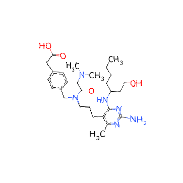 CCCCC(CCO)Nc1nc(N)nc(C)c1CCCN(Cc1ccc(CC(=O)O)cc1)C(=O)CN(C)C